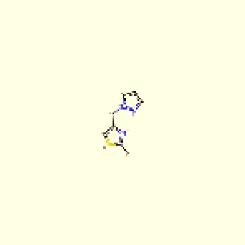 Cc1nc(Cn2c[c]cn2)cs1